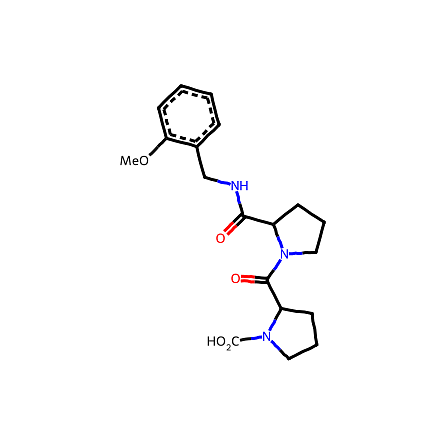 COc1ccccc1CNC(=O)C1CCCN1C(=O)C1CCCN1C(=O)O